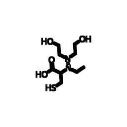 CCN(C(CS)C(=O)O)N(CCO)CCO